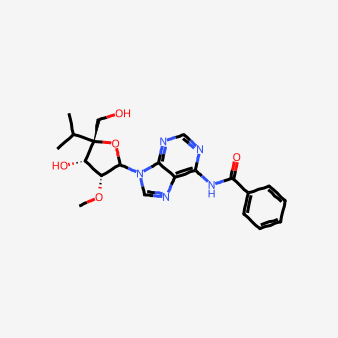 CO[C@H]1C(n2cnc3c(NC(=O)c4ccccc4)ncnc32)O[C@@](CO)(C(C)C)[C@H]1O